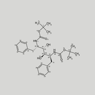 CC(C)(C)OC(=O)N[C@@H](Cc1ccccc1)[C@H](O)[C@H](O)[C@H](Cc1ccccc1)NC(=O)OC(C)(C)C